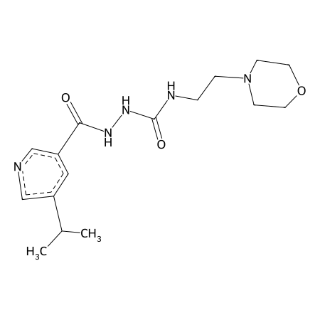 CC(C)c1cncc(C(=O)NNC(=O)NCCN2CCOCC2)c1